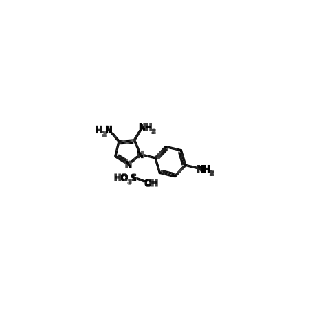 Nc1ccc(-n2ncc(N)c2N)cc1.O=S(=O)(O)O